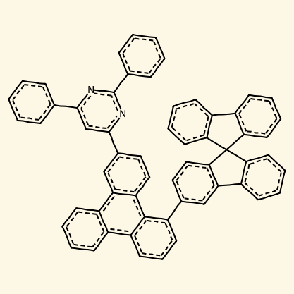 c1ccc(-c2cc(-c3ccc4c(c3)c3ccccc3c3cccc(-c5ccc6c(c5)-c5ccccc5C65c6ccccc6-c6ccccc65)c34)nc(-c3ccccc3)n2)cc1